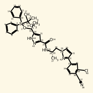 C[C@H](O[Si](c1ccccc1)(c1ccccc1)C(C)(C)C)c1cc(C(=O)N[C@@H](C)Cn2ccc(-c3ccc(C#N)c(Cl)c3)n2)n[nH]1